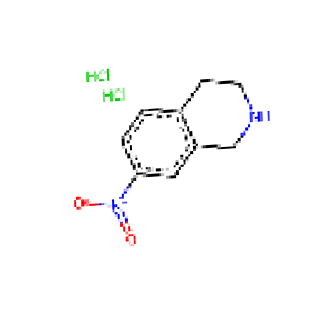 Cl.Cl.O=[N+]([O-])c1ccc2c(c1)CNCC2